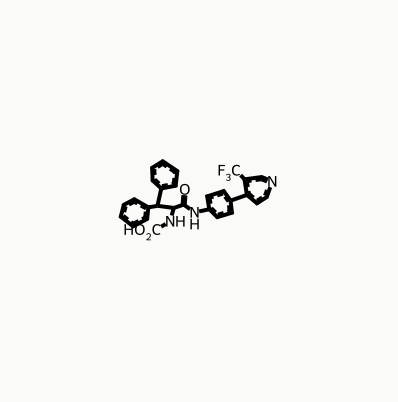 O=C(O)NC(C(=O)Nc1ccc(-c2ccncc2C(F)(F)F)cc1)C(c1ccccc1)c1ccccc1